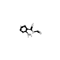 Nc1ccccc1C(=O)O[C]=O